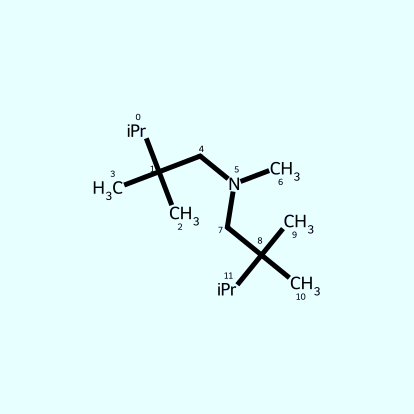 CC(C)C(C)(C)CN(C)CC(C)(C)C(C)C